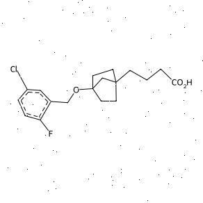 O=C(O)CCCC12CCC(OCc3cc(Cl)ccc3F)(CC1)C2